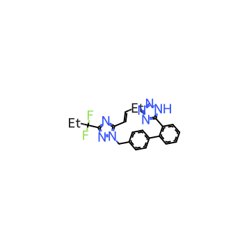 CC/C=C/c1nc(C(F)(F)CC)nn1Cc1ccc(-c2ccccc2-c2nnn[nH]2)cc1